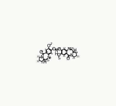 COc1cc2c(cc1ONOc1cc3c(cc1OC)C(=O)N1CCC[C@H]1C=N3)N=C[C@@H]1CCCN1C2=O